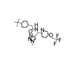 Cn1cc([C@H](NC(=O)Cc2ccc(C(C)(C)C)cc2)c2ccc(OCC(F)(F)F)cn2)nn1